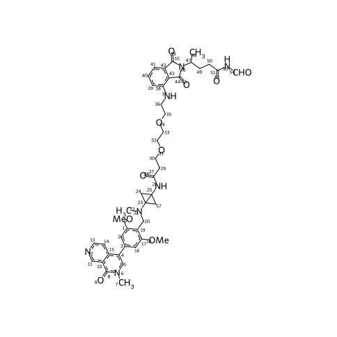 COc1cc(-c2cn(C)c(=O)c3cnccc23)cc(OC)c1CN(C)C12CC1(NC(=O)CCOCCOCCNc1cccc3c1C(=O)N(C(C)CCC(=O)NC=O)C3=O)C2